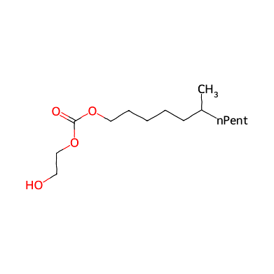 CCCCCC(C)CCCCCOC(=O)OCCO